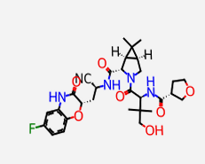 CC(C)(CO)[C@H](NC(=O)[C@@H]1CCOC1)C(=O)N1C[C@H]2[C@@H]([C@H]1C(=O)N[C@H](C#N)C[C@@H]1Oc3ccc(F)cc3NC1=O)C2(C)C